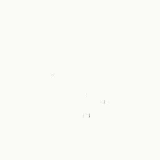 CC(c1ccc(CI)nc1)N1CCNC1=N